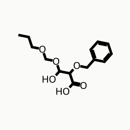 CCCOCOC(O)C(OCc1ccccc1)C(=O)O